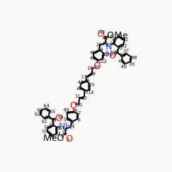 COC(=O)C(Cc1ccc(OC/C=C/c2ccc(/C=C/COc3ccc(CC(Nc4ccccc4C(=O)c4ccccc4)C(=O)OC)cc3)cc2)cc1)Nc1ccccc1C(=O)c1ccccc1